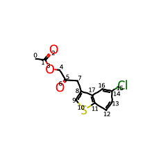 CC(=O)OCC(=O)Cc1csc2ccc(Cl)cc12